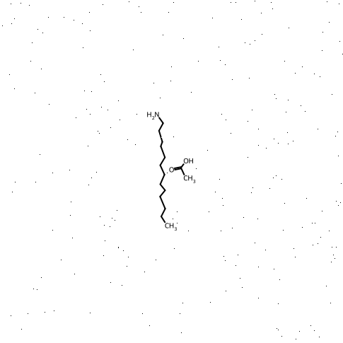 CC(=O)O.CCCCCCCCCCCCCN